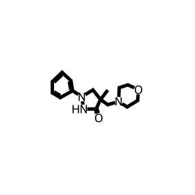 CC1(CN2CCOCC2)CN(c2ccccc2)NC1=O